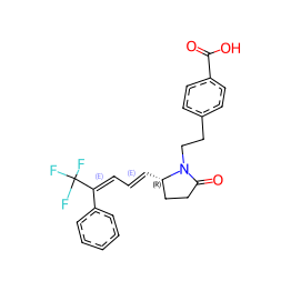 O=C(O)c1ccc(CCN2C(=O)CC[C@@H]2/C=C/C=C(\c2ccccc2)C(F)(F)F)cc1